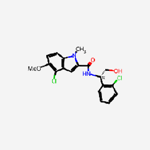 COc1ccc2c(cc(C(=O)N[C@H](CO)c3ccc[c]c3Cl)n2C)c1Cl